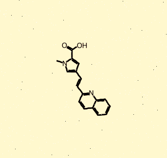 Cn1cc(C=Cc2ccc3ccccc3n2)cc1C(=O)O